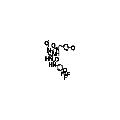 COCCn1cc(NC(=O)Nc2ccc(OC(F)(F)F)cc2)nc1C(=O)NCc1ccc(OC)cc1